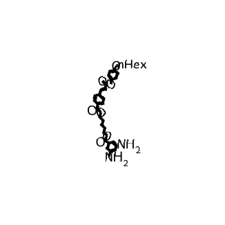 CCCCCCOc1ccc(OC(=O)C=Cc2ccc(C(=O)OCCCCCOC(=O)c3cc(N)cc(N)c3)cc2)cc1